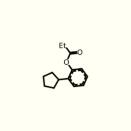 CCC(=O)Oc1ccccc1C1CCCC1